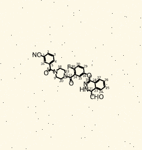 N#Cc1cccc(C(=O)N2CCN(C(=O)c3cc(OC4=NNC(C=O)c5ccccc54)ccc3F)CC2)c1